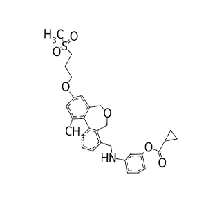 Cc1cc(OCCCS(C)(=O)=O)cc2c1-c1cccc(CNc3cccc(OC(=O)C4CC4)c3)c1COC2